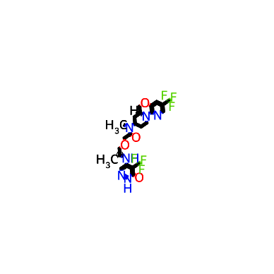 C[C@@H](COCC(=O)N(C)C1CCN2c3ncc(C(F)(F)F)cc3OC[C@@H]2C1)Nc1cn[nH]c(=O)c1C(F)(F)F